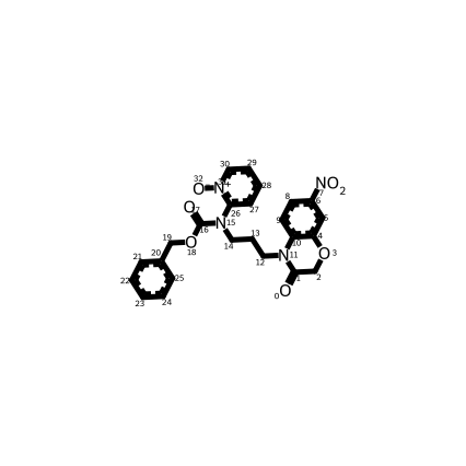 O=C1COc2cc([N+](=O)[O-])ccc2N1CCCN(C(=O)OCc1ccccc1)c1cccc[n+]1[O-]